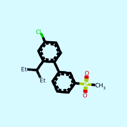 CCC(CC)c1cc(Cl)ccc1-c1cccc(S(C)(=O)=O)c1